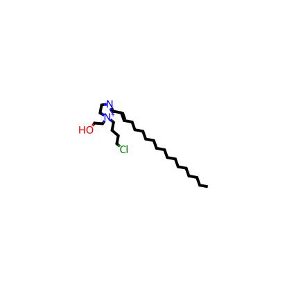 CCCCCCCCCCCCCCCC=CC1=NCC[N+]1(CCO)CCCCCl